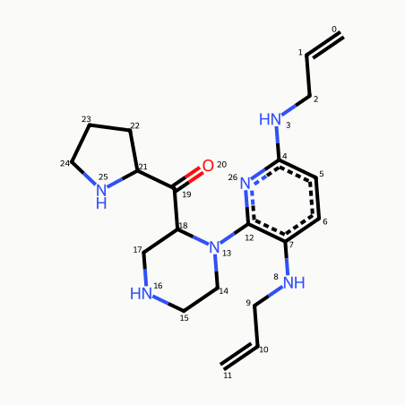 C=CCNc1ccc(NCC=C)c(N2CCNCC2C(=O)C2CCCN2)n1